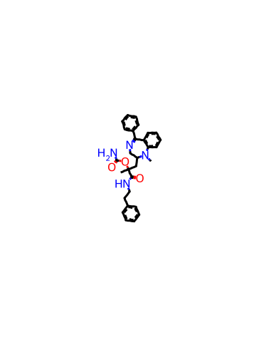 CN1c2ccccc2C(c2ccccc2)=NCC1CC(C)(OC(N)=O)C(=O)NCCc1ccccc1